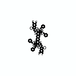 O=C1C(=CC2=NC3C(S2)C2=CC4C=C5OC(C(=O)OCc6ccccc6)(C(=O)OCc6ccccc6)c6nc(C=C7C(=O)c8cc(F)c(F)cc8C7=O)sc6C5=CC4C=C2OC3(C(=O)OCc2ccccc2)C(=O)OCc2ccccc2)C(=O)C2=CC(F)C(F)C=C12